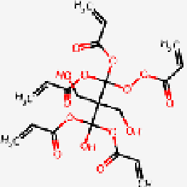 C=CC(=O)OOC(OC(=O)C=C)(OC(=O)C=C)C(CO)(CO)C(O)(OC(=O)C=C)OC(=O)C=C